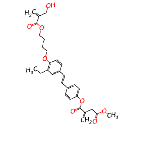 C=C(CO)C(=O)OCCCCOc1ccc(/C=C/c2ccc(OC(=O)C(=C)CC(=O)OC)cc2)cc1CC